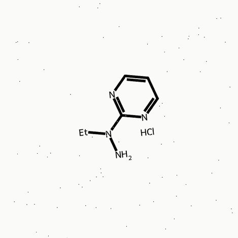 CCN(N)c1ncccn1.Cl